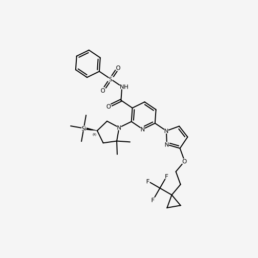 CC1(C)C[C@@H]([Si](C)(C)C)CN1c1nc(-n2ccc(OCCC3(C(F)(F)F)CC3)n2)ccc1C(=O)NS(=O)(=O)c1ccccc1